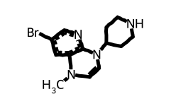 CN1C=CN(C2CCNCC2)c2ncc(Br)cc21